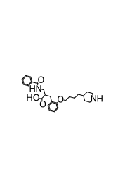 O=C(NCC(Cc1ccccc1OCCCCC1CCNCC1)C(=O)O)c1ccccc1